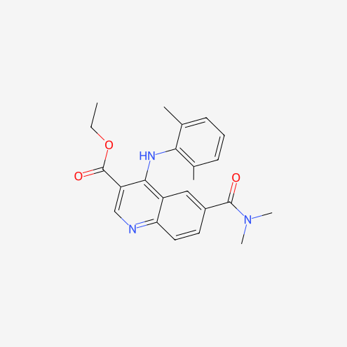 CCOC(=O)c1cnc2ccc(C(=O)N(C)C)cc2c1Nc1c(C)cccc1C